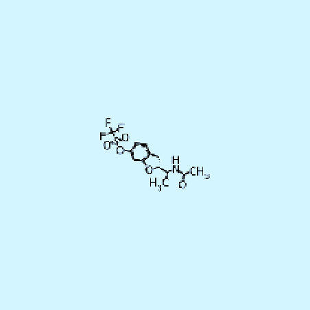 CC(=O)N[C@@H](C)[C@H]1Cc2ccc(OS(=O)(=O)C(F)(F)F)cc2O1